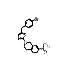 CCN(C)c1ccc2c(c1)CN(c1ncc(Cc3ccc(Br)cc3)s1)CC2